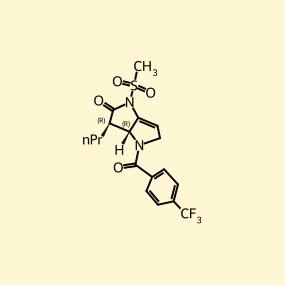 CCC[C@H]1C(=O)N(S(C)(=O)=O)C2=CCN(C(=O)c3ccc(C(F)(F)F)cc3)[C@@H]21